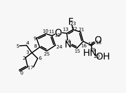 C=CCC(CC)(CC)c1ccc(Oc2ncc(C(=O)NO)cc2F)cc1